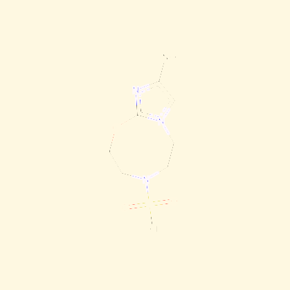 CS(=O)(=O)N1CCOc2nc([N+](=O)[O-])cn2CC1